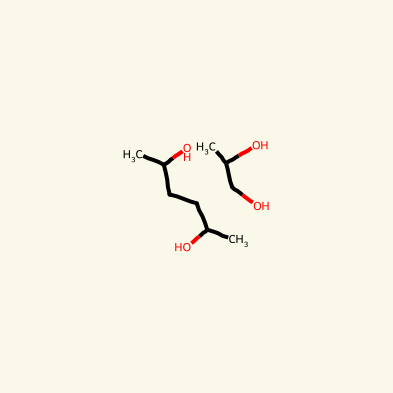 CC(O)CCC(C)O.CC(O)CO